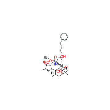 CC1=C[C@H]2[C@@]3(O)[C@H](C)C[C@]4(OC(=O)[C@@H](CCCCCCc5ccccc5)NC(=O)OC(C)(C)C)[C@H]([C@@H]3C=C(CO)C[C@]2(O)C1=O)C4(C)C